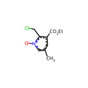 CCOC(=O)c1cc(C)c[n+]([O-])c1CCl